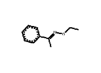 CCON=C(C)c1c[c]ccc1